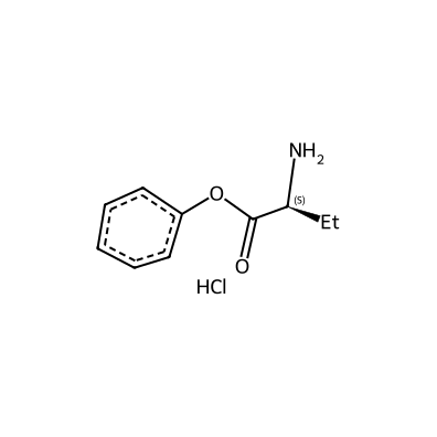 CC[C@H](N)C(=O)Oc1ccccc1.Cl